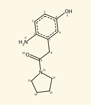 Nc1ccc(O)cc1CC(=O)N1CCCC1